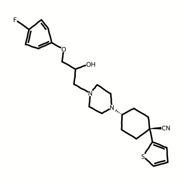 N#C[C@]1(c2cccs2)CC[C@@H](N2CCN(CC(O)COc3ccc(F)cc3)CC2)CC1